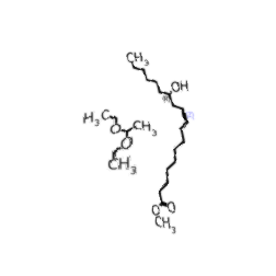 CCCCCC[C@@H](O)C/C=C\CCCCCCCC(=O)OC.CCOC(C)OCC